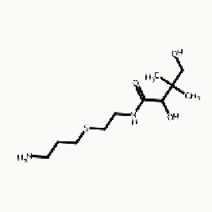 CC(C)(CO)C(O)C(=O)NCCSCCCN